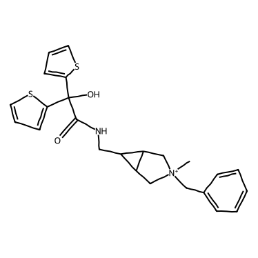 C[N+]1(Cc2ccccc2)CC2C(CNC(=O)C(O)(c3cccs3)c3cccs3)C2C1